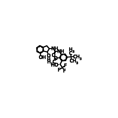 COc1c(NC(=O)NC2Cc3cccc(O)c3C2O)cc(C(C)(C)C)cc1[C@@H](O)C(F)(F)F